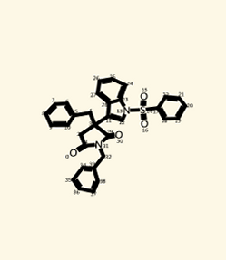 O=C1CC(Cc2ccccc2)(c2cn(S(=O)(=O)c3ccccc3)c3ccccc23)C(=O)N1Cc1ccccc1